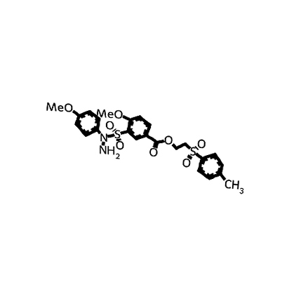 COc1ccc(N(N)S(=O)(=O)c2cc(C(=O)OCCS(=O)(=O)c3ccc(C)cc3)ccc2OC)cc1